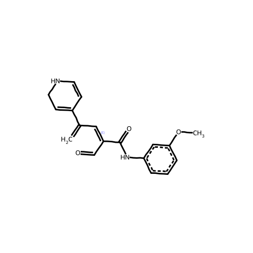 C=C(/C=C(\C=O)C(=O)Nc1cccc(OC)c1)C1=CCNC=C1